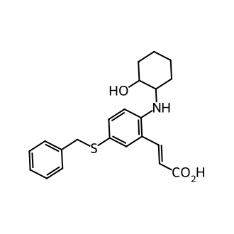 O=C(O)C=Cc1cc(SCc2ccccc2)ccc1NC1CCCCC1O